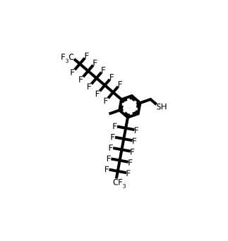 Cc1c(C(F)(F)C(F)(F)C(F)(F)C(F)(F)C(F)(F)C(F)(F)F)cc(CS)cc1C(F)(F)C(F)(F)C(F)(F)C(F)(F)C(F)(F)C(F)(F)F